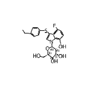 CCc1ccc(Sc2cn([C@@H]3O[C@H](CO)[C@@H](O)[C@H](O)[C@H]3O)c3c(C)ccc(F)c23)cc1